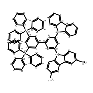 CC(C)(C)c1ccc2c(c1)c1cc(C(C)(C)C)ccc1n2-c1cc(-n2c3ccccc3c3ccccc32)nc(-c2cc([Si](c3ccccc3)(c3ccccc3)c3ccccc3)cc([Si](c3ccccc3)(c3ccccc3)c3ccccc3)c2)n1